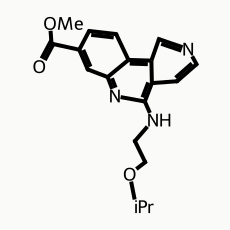 COC(=O)c1ccc2c(c1)nc(NCCOC(C)C)c1ccncc12